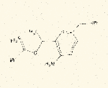 C=C(OC(C)c1cc(CC(C)C)ccc1N)C(C)C